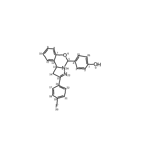 Oc1ccc(C2Oc3ccccc3C3CC(c4ccc(F)cc4)=NN32)cc1